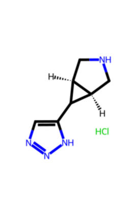 Cl.c1nn[nH]c1C1[C@H]2CNC[C@@H]12